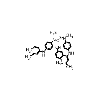 C=C/C=C(\C=C/C)Nc1ccc(NOSN(C)c2ccc(N/C(=C/C=C)c3cc(C#N)ccc3C)cc2)cc1.S